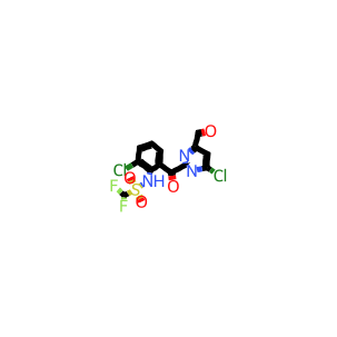 O=Cc1cc(Cl)nc(C(=O)c2cccc(Cl)c2NS(=O)(=O)C(F)F)n1